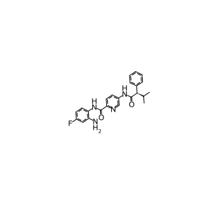 CC(C)[C@@H](C(=O)Nc1ccc(C(=O)Nc2ccc(F)cc2N)nc1)c1ccccc1